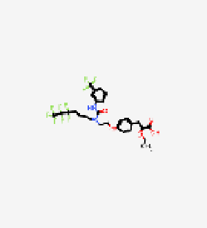 CCOC(Cc1ccc(OCCN(CCCCC(F)(F)C(F)(F)C(F)(F)F)C(=O)Nc2cccc(C(F)(F)F)c2)cc1)C(=O)O